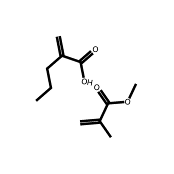 C=C(C)C(=O)OC.C=C(CCC)C(=O)O